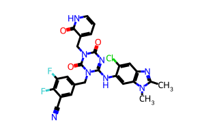 Cc1nc2cc(Cl)c(Nc3nc(=O)n(Cc4ccc[nH]c4=O)c(=O)n3Cc3cc(F)c(F)c(C#N)c3)cc2n1C